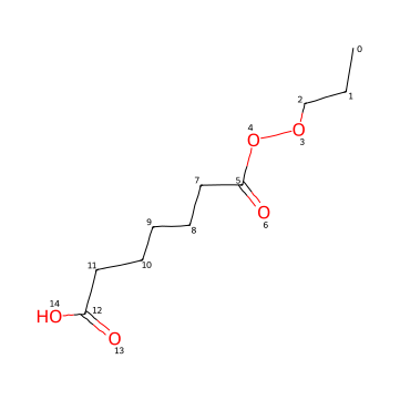 CCCOOC(=O)CCCCCC(=O)O